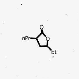 CCCC1CC(CC)OC1=O